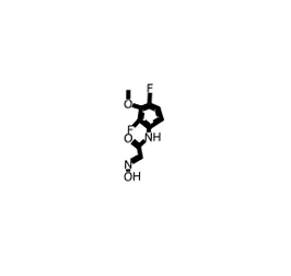 COc1c(F)ccc(NC(=O)C=NO)c1F